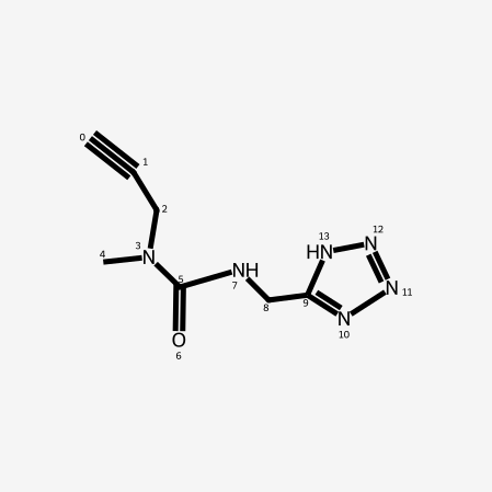 C#CCN(C)C(=O)NCc1nnn[nH]1